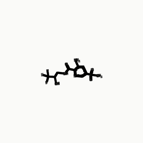 CS(=O)(=O)c1cnc(C(=O)NCC(O)C(F)(F)F)c(N)c1